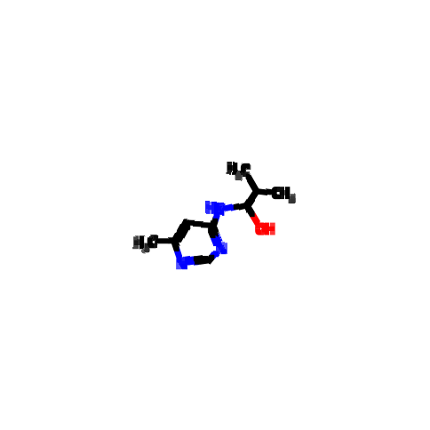 Cc1cc(NC(O)C(C)C)ncn1